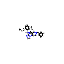 C=C1C2=C(CCN(Cc3ccccc3)C2)N2CCN=C2N1Cc1ccccc1C